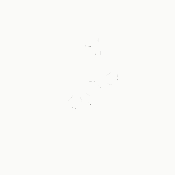 O=C(O)NCC1CC2(C1)C(=O)N(Cc1cc3cc(Cl)ccc3n1CCCCF)c1ccccc12